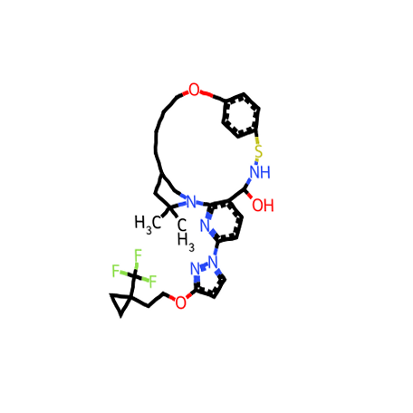 CC1(C)CC2CCCCOc3ccc(cc3)SNC(O)c3ccc(-n4ccc(OCCC5(C(F)(F)F)CC5)n4)nc3N1C2